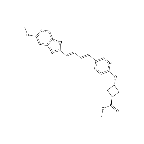 COc1ccc2nc(/C=C/C=C/c3ccc(O[C@H]4C[C@H](C(=O)OC)C4)nc3)sc2c1